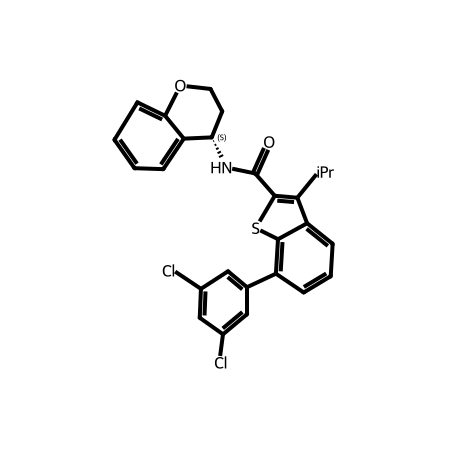 CC(C)c1c(C(=O)N[C@H]2CCOc3ccccc32)sc2c(-c3cc(Cl)cc(Cl)c3)cccc12